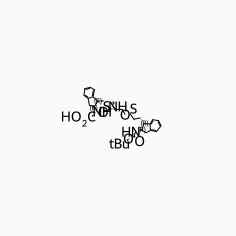 CC(C)(C)OC(=O)N[C@@H]1Cc2ccccc2[C@H]1CCC(=S)OCCN[S+]([O-])C[C@@H]1c2ccccc2C[C@H]1NC(=O)O